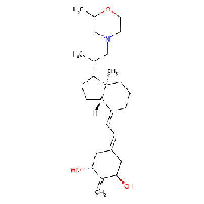 C=C1[C@H](O)CC(=CC=C2CCC[C@]3(C)[C@@H](C(C)CN4CCOC(C)C4)CC[C@@H]23)C[C@H]1O